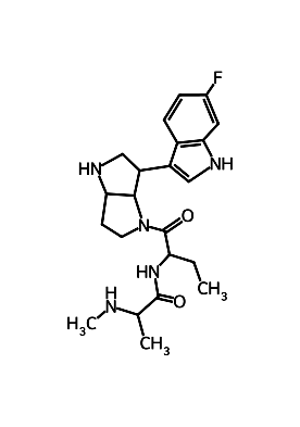 CCC(NC(=O)C(C)NC)C(=O)N1CCC2NCC(c3c[nH]c4cc(F)ccc34)C21